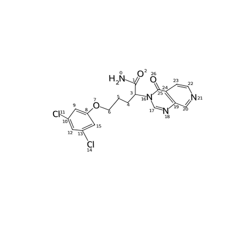 NC(=O)C(CCCOc1cc(Cl)cc(Cl)c1)n1cnc2cnccc2c1=O